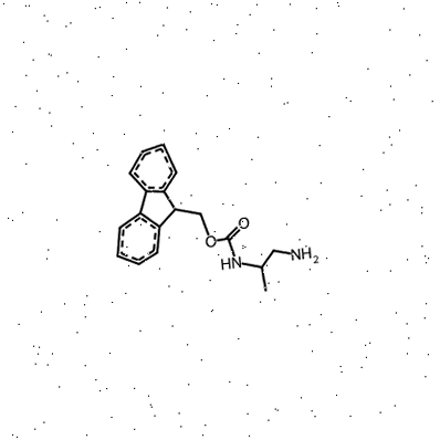 CC(CN)NC(=O)OCC1c2ccccc2-c2ccccc21